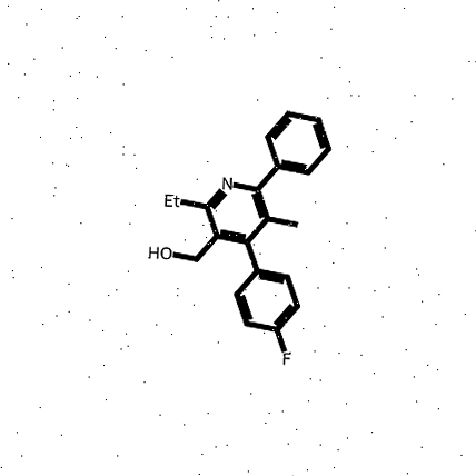 CCc1nc(-c2ccccc2)c(C)c(-c2ccc(F)cc2)c1CO